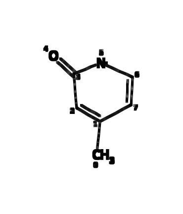 CC1=CC(=O)[N]C=C1